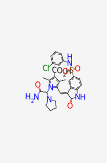 Cc1c(C(=O)O)c(C)n(C(C(N)=O)N2CCCC2)c1C=C1C(=O)Nc2ccc(S(=O)(=O)Nc3cccc(Cl)c3)cc21